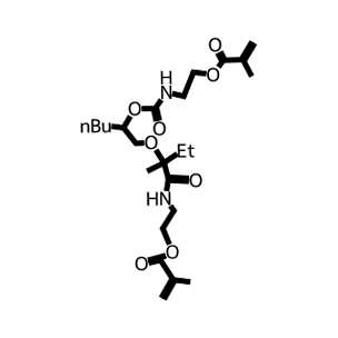 C=C(C)C(=O)OCCNC(=O)OC(CCCC)COC(C)(CC)C(=O)NCCOC(=O)C(=C)C